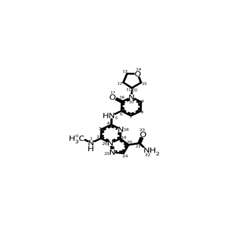 CNc1cc(Nc2cccn([C@H]3CCOC3)c2=O)nc2c(C(N)=O)cnn12